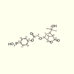 CC(C)(O)C1CC(OCC(=O)Oc2ccc(S(=O)(=O)O)cc2)C2CC1C(=O)O2